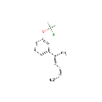 C/C=C\C=C(/C)c1cccc(OC(F)(F)F)c1